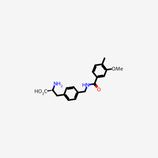 COc1cc(C(=O)NCc2ccc(C[C@H](N)C(=O)O)cc2)ccc1C